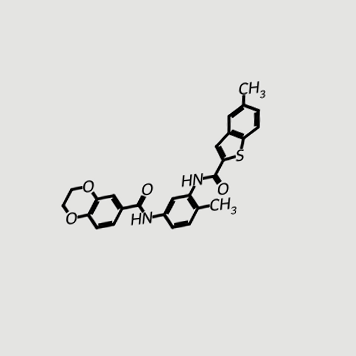 Cc1ccc2sc(C(=O)Nc3cc(NC(=O)c4ccc5c(c4)OCCO5)ccc3C)cc2c1